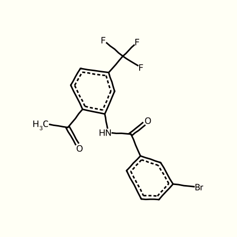 CC(=O)c1ccc(C(F)(F)F)cc1NC(=O)c1cccc(Br)c1